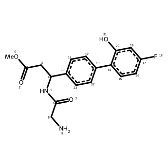 COC(=O)CC(NC(=O)CN)c1ccc(-c2ccc(F)cc2O)cc1